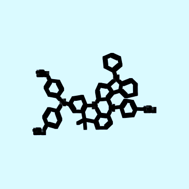 CC(C)(C)c1ccc(N(c2ccc(C(C)(C)C)cc2)c2ccc3c(c2)C(C)(C)c2cccc4c2B3c2ccc3c(c2N4c2ccc(C(C)(C)C)cc2)c2ccccc2n3-c2ccccc2)cc1